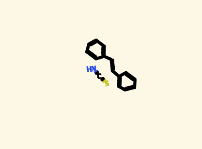 C(=Cc1ccccc1)c1ccccc1.N=C=S